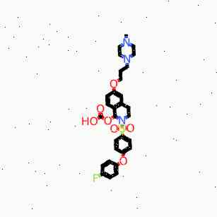 CN1CCN(CCCOc2ccc3c(c2)CCN(S(=O)(=O)c2ccc(Oc4ccc(F)cc4)cc2)C3OC(=O)O)CC1